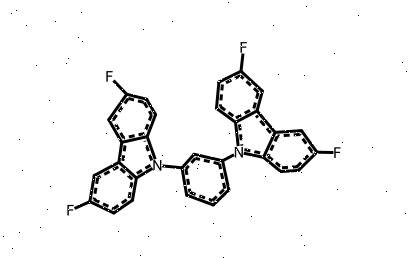 Fc1ccc2c(c1)c1cc(F)ccc1n2-c1cccc(-n2c3ccc(F)cc3c3cc(F)ccc32)c1